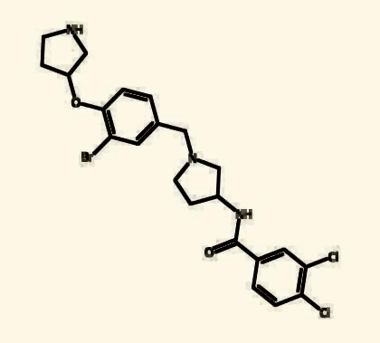 O=C(NC1CCN(Cc2ccc(OC3CCNC3)c(Br)c2)C1)c1ccc(Cl)c(Cl)c1